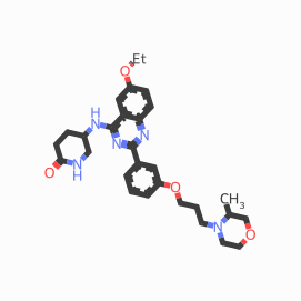 CCOc1ccc2nc(-c3cccc(OCCCN4CCOCC4C)c3)nc(NC3CCC(=O)NC3)c2c1